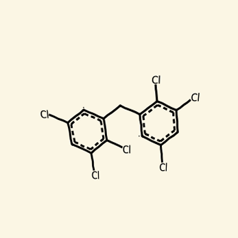 Clc1[c]c(Cc2[c]c(Cl)cc(Cl)c2Cl)c(Cl)c(Cl)c1